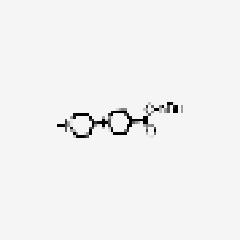 CCCCOC(=O)C1CCN(C2CCN(C)CC2)CC1